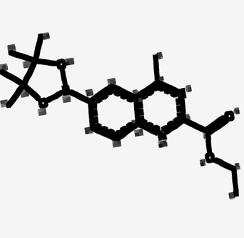 CCOC(=O)c1nc(C)c2cc(B3OC(C)(C)C(C)(C)O3)ccc2n1